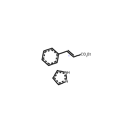 CCOC(=O)/C=C/c1ccccc1.c1cn[nH]c1